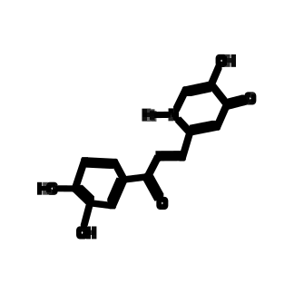 CCn1cc(O)c(=O)cc1/C=C/C(=O)c1ccc(O)c(O)c1